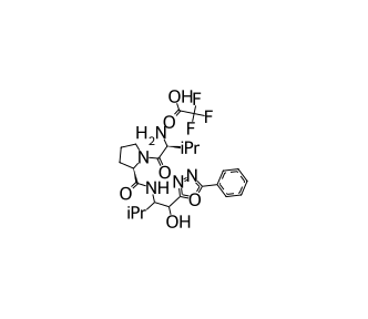 CC(C)C(NC(=O)[C@H]1CCCN1C(=O)[C@@H](N)C(C)C)C(O)c1nnc(-c2ccccc2)o1.O=C(O)C(F)(F)F